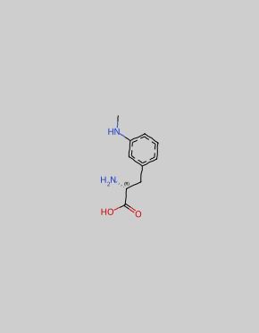 CNc1cccc(C[C@@H](N)C(=O)O)c1